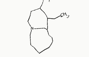 CC1CCN2CCCCC2C1C